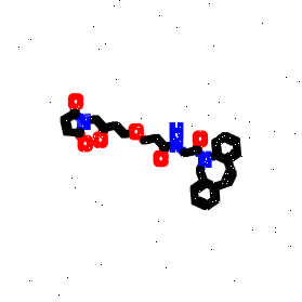 O=C(CCOCCC(=O)NCC(=O)N1Cc2ccccc2C#Cc2ccccc21)CN1C(=O)C=CC1=O